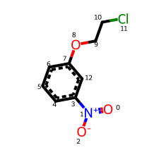 O=[N+]([O-])c1cccc(OCCCl)c1